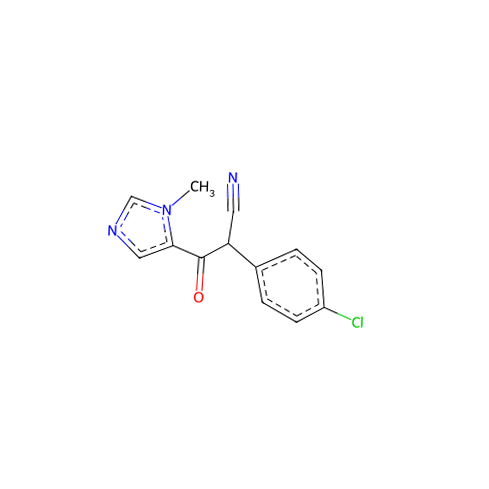 Cn1cncc1C(=O)C(C#N)c1ccc(Cl)cc1